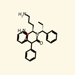 CC[C@H](c1ccccc1)N(C(=O)C(c1ccccc1)c1ccccc1)[C@H](CCCN)C(N)=O